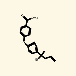 C=CCC(C)(CC)c1ccc(Oc2ccc(C(=O)OC)cc2)cc1